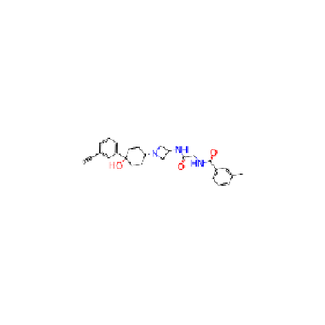 C#Cc1cccc([C@]2(O)CC[C@H](N3CC(NC(=O)CNC(=O)c4cccc(C)c4)C3)CC2)c1